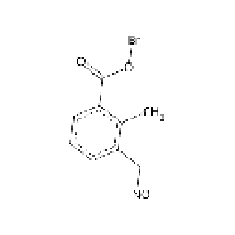 Cc1c(CN=O)cccc1C(=O)OBr